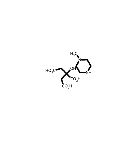 CN1CCNCC1.O=C(O)CC(O)(CC(=O)O)C(=O)O